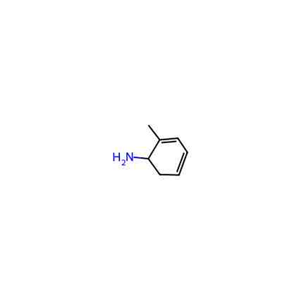 CC1=CC=CCC1N